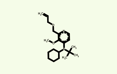 C=CCOCc1nccc(N(C2CCCCC2)C(C)(C)C)c1OC